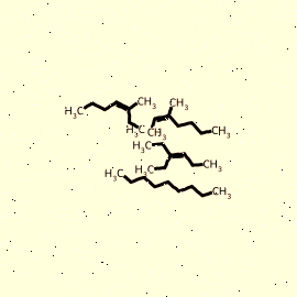 CC=C(C)CCCC.CCC=C(CC)CC.CCCC=C(C)CC.CCCCCCCCC